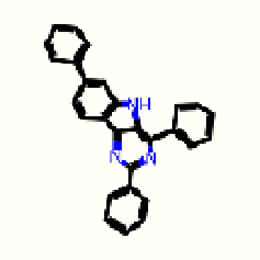 c1ccc(-c2ccc3c(c2)[nH]c2c(-c4ccccc4)nc(-c4ccccc4)nc23)cc1